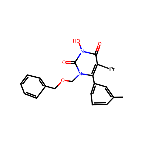 Cc1cccc(-c2c(C(C)C)c(=O)n(O)c(=O)n2COCc2ccccc2)c1